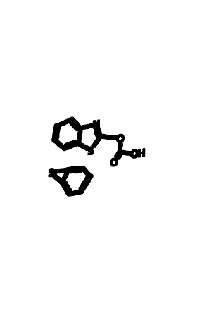 O=C(O)Oc1nc2ccccc2s1.c1ccc2c(c1)S2